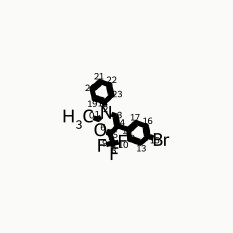 CCN(/C=C(\C(=O)C(F)(F)F)c1ccc(Br)cc1)c1ccccc1